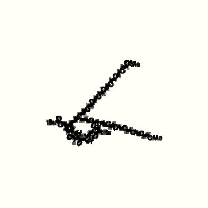 COCCOCCOCCOCCOCCOCCOCCOCCCN(CCCOCCOCCOCCOCCOCCOCCOCCOC)CCCc1cc(NC(=O)[C@H](C)NC(=O)[C@@H](NC(=O)CN2C(=O)CC(C(C)(C)C)C2=O)C(C)C)ccc1COC(=O)C(C)(C)C